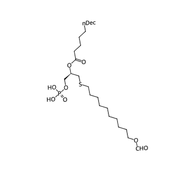 CCCCCCCCCCCCCCC(=O)O[C@H](COP(=O)(O)O)CSCCCCCCCCCCOC=O